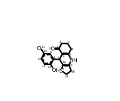 O=C1CCCC2=C1C(c1cc(Cl)ccc1O)C1=C(CCS1)N2